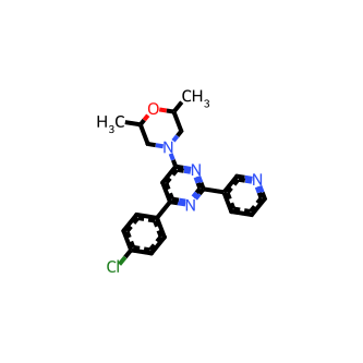 CC1CN(c2cc(-c3ccc(Cl)cc3)nc(-c3cccnc3)n2)CC(C)O1